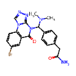 CN(C)C(c1ccc(CC(N)=O)cc1)n1c(=O)c2cc(Br)ccc2n2cnnc12